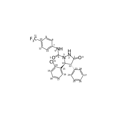 O=C1NN(C(=O)Nc2ccc(C(F)(F)F)cc2)[C@H](c2ccccc2Cl)[C@H]1c1ccccc1